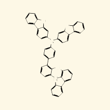 c1cc(-c2ccc(N(c3ccc4c(c3)oc3ccccc34)c3ccc4c(c3)oc3ccccc34)cc2)c2c(c1)-n1c3ccccc3c3cccc(c31)O2